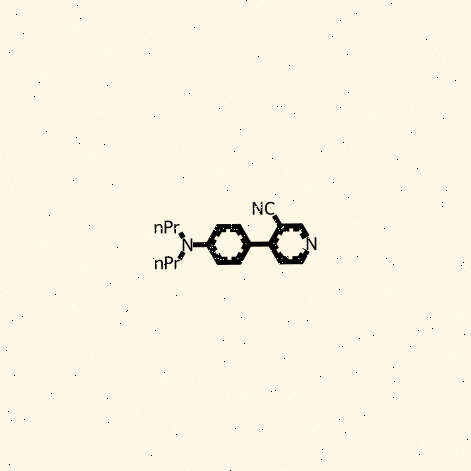 CCCN(CCC)c1ccc(-c2ccncc2C#N)cc1